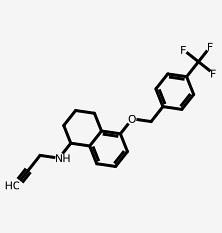 C#CCNC1CCCc2c(OCc3ccc(C(F)(F)F)cc3)cccc21